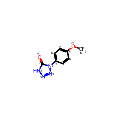 O=c1[nH]nnn1-c1ccc(OC(F)(F)F)cc1